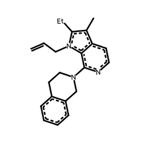 C=CCn1c(CC)c(C)c2ccnc(N3CCc4ccccc4C3)c21